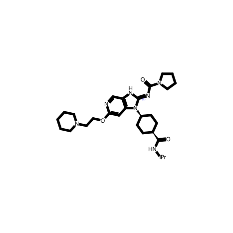 CC(C)NC(=O)[C@H]1CC[C@@H](n2/c(=N/C(=O)N3CCCC3)[nH]c3cnc(OCCN4CCCCC4)cc32)CC1